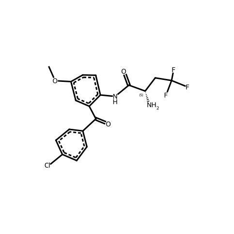 COc1ccc(NC(=O)[C@@H](N)CC(F)(F)F)c(C(=O)c2ccc(Cl)cc2)c1